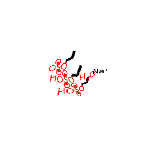 C=CCOS(=O)(=O)O.C=CCOS(=O)(=O)O.C=CCOS(=O)(=O)[O-].O.[Na+]